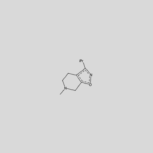 CC(C)c1noc2c1CCN(C)C2